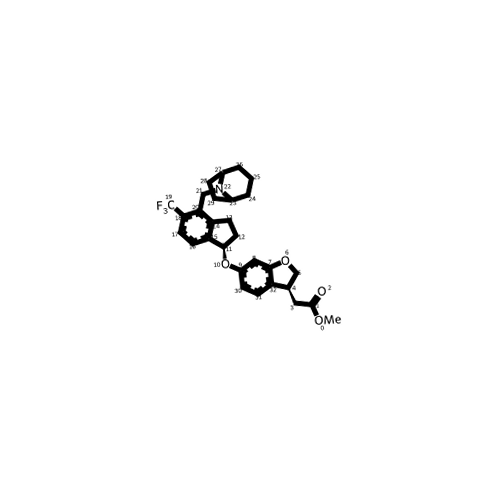 COC(=O)C[C@@H]1COc2cc(O[C@@H]3CCc4c3ccc(C(F)(F)F)c4CN3C4CCCC3CC4)ccc21